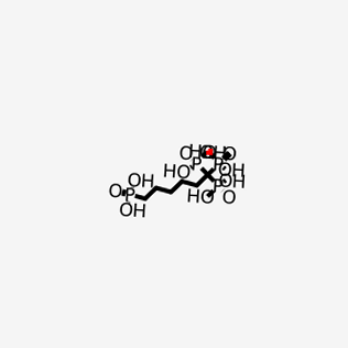 O=P(O)(O)CCCCCC(P(=O)(O)O)(P(=O)(O)O)P(=O)(O)O